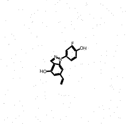 C=Cc1cc(O)c2cnn(-c3ccc(O)c(F)c3)c2c1